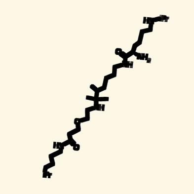 CC(C)CCCCNC(=O)CCOCCNC(C)(C)C(C)CCCCNC(=O)[C@H](N)CCCCNC(C)C